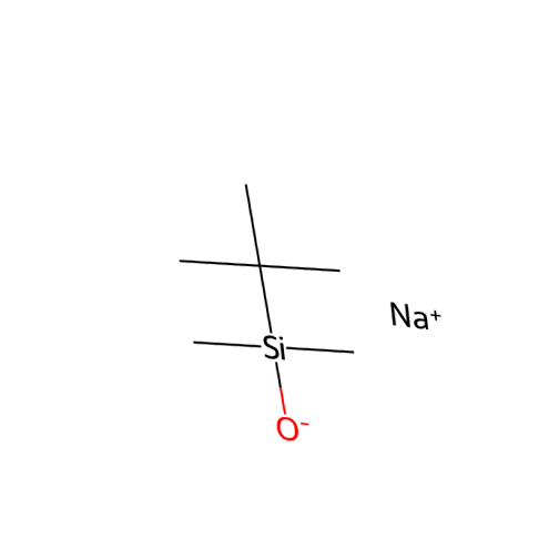 CC(C)(C)[Si](C)(C)[O-].[Na+]